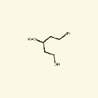 COC(CCO)CCC(C)C